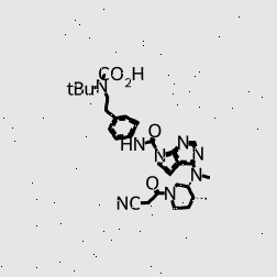 C[C@@H]1CCN(C(=O)CC#N)C[C@@H]1N(C)c1ncnc2c1ccn2C(=O)Nc1ccc(CCN(C(=O)O)C(C)(C)C)cc1